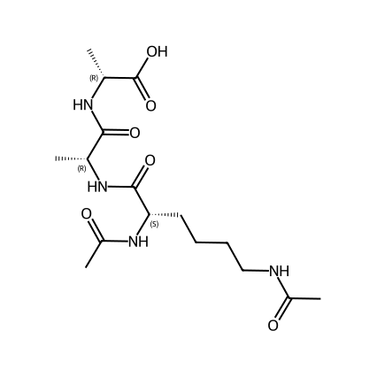 CC(=O)NCCCC[C@H](NC(C)=O)C(=O)N[C@H](C)C(=O)N[C@H](C)C(=O)O